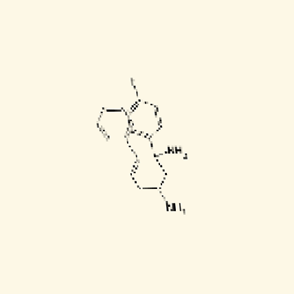 NC1=CC=C(c2ccccc2)C(N)(c2ccc(F)cc2)C1